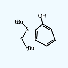 CC(C)(C)SSC(C)(C)C.Oc1ccccc1